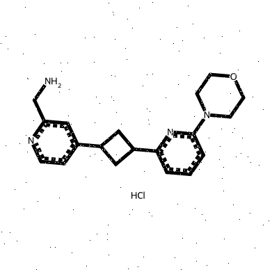 Cl.NCc1cc(C2CC(c3cccc(N4CCOCC4)n3)C2)ccn1